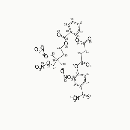 NC(=S)c1ccc(OC(=O)CCC(=O)Oc2ccccc2C(=O)OCCC(CO[N+](=O)[O-])(CO[N+](=O)[O-])CO[N+](=O)[O-])cc1